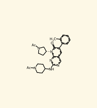 CC(=O)N1CCC(Nc2ncc3cc(-c4ccccc4C)c(=O)n([C@@H]4CCN(C(C)=O)C4)c3n2)CC1